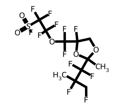 CC(F)(CF)C(F)(F)C1(C)OCC(F)(C(F)(F)OC(F)(F)C(F)(F)S(=O)(=O)F)O1